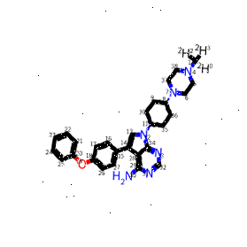 [2H]C([2H])([2H])N1CCN([C@H]2CC[C@H](n3cc(-c4ccc(Oc5ccccc5)cc4)c4c(N)ncnc43)CC2)CC1